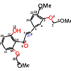 COCOc1cc(/C=C/C(=O)c2c(O)cccc2OCOC)ccc1OC